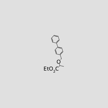 CCOC(=O)C(C)OCc1ccc(-c2ccccc2)cc1